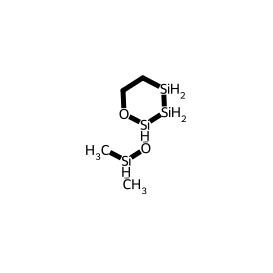 C[SiH](C)O[SiH]1OCC[SiH2][SiH2]1